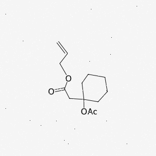 C=CCOC(=O)CC1(OC(C)=O)CCCCC1